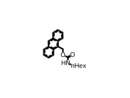 CCCCCCNC(=O)OCc1c2ccccc2cc2ccccc12